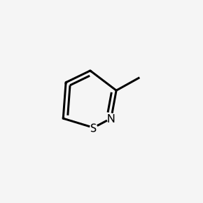 CC1=NSC=C=C1